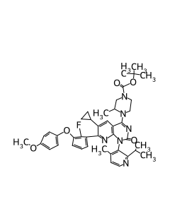 COc1ccc(Oc2cccc(-c3nc4c(cc3C3CC3)c(N3CCN(C(=O)OC(C)(C)C)CC3C)nc(=O)n4-c3c(C)ccnc3C(C)C)c2F)cc1